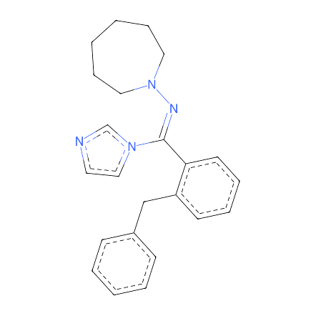 c1ccc(Cc2ccccc2C(=NN2CCCCCC2)n2ccnc2)cc1